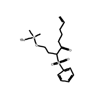 C=CCCCC(=O)C(CCO[Si](C)(C)C(C)(C)C)S(=O)(=O)c1ccccc1